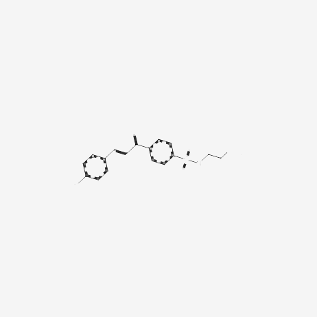 CC(C)c1ccc(/C=C/C(=O)c2ccc(S(=O)(=O)NCCC(=O)O)cc2)cc1